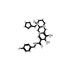 O=C(NCc1ccc(F)cc1)C1=CN2CC3N(CCC[N+]3([O-])CC3CCCC3)CC2=C(O)C1O